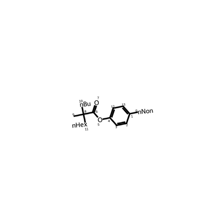 CCCCCCCCCc1ccc(OC(=O)C(C)(CCCC)CCCCCC)cc1